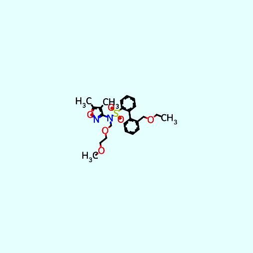 CCOCc1ccccc1-c1ccccc1S(=O)(=O)N(COCCOC)c1noc(C)c1C